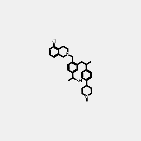 CC(S)c1ccc(CN2CCc3c(Cl)cccc3C2)c(CC(C)c2ccc(C3CCN(C)CC3)cc2)c1